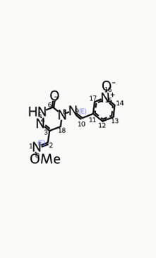 CO/N=C/C1=NNC(=O)N(/N=C/c2ccc[n+]([O-])c2)C1